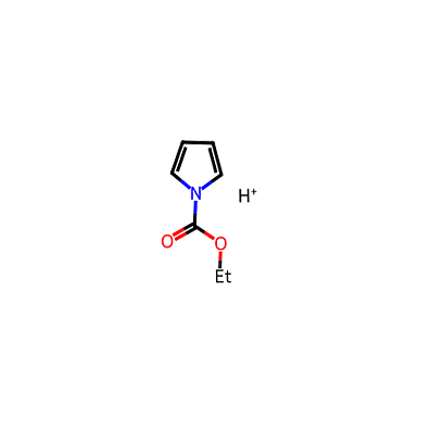 CCOC(=O)n1cccc1.[H+]